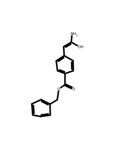 NC(O)=Cc1ccc(C(=O)OCc2ccccc2)cc1